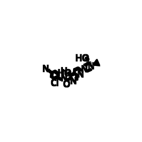 N#Cc1ccc(CNC(=O)c2ncc3nc(N4CCN(C5CC5)[C@@H](CO)C4)ccc3c2O)c(Cl)c1